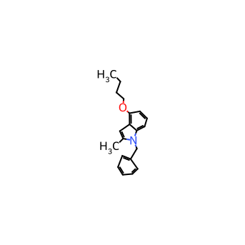 CCCCOc1cccc2c1cc(C)n2Cc1ccccc1